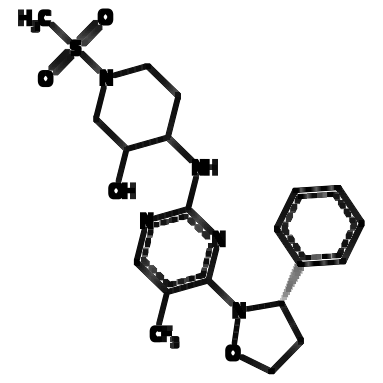 CS(=O)(=O)N1CCC(Nc2ncc(C(F)(F)F)c(N3OCC[C@H]3c3ccccc3)n2)C(O)C1